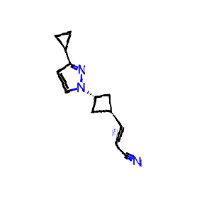 N#C/C=C/[C@H]1C[C@H](n2ccc(C3CC3)n2)C1